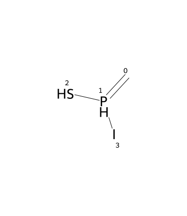 C=[PH](S)I